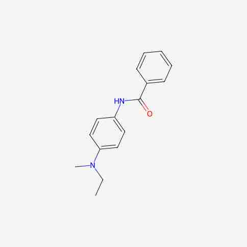 CCN(C)c1ccc(NC(=O)c2ccccc2)cc1